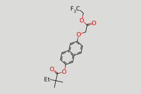 CCC(C)(C)C(=O)Oc1ccc2cc(OCC(=O)OCC(F)(F)F)ccc2c1